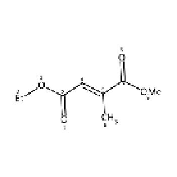 CCOC(=O)/C=C(\C)C(=O)OC